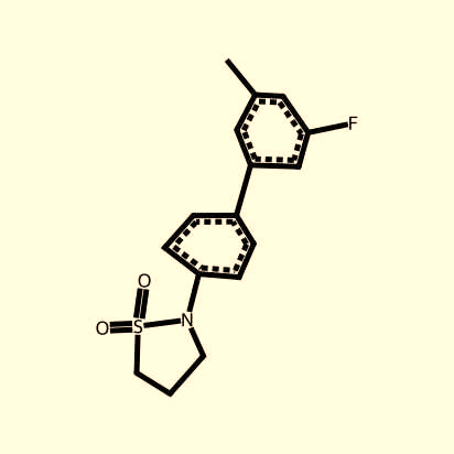 Cc1cc(F)cc(-c2ccc(N3CCCS3(=O)=O)cc2)c1